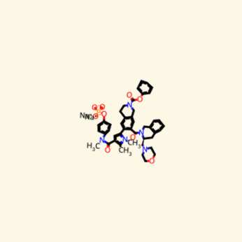 Cc1c(C(=O)N(C)c2ccc(OP(=O)([O-])[O-])cc2)cc(-c2cc3c(cc2C(=O)N2Cc4ccccc4C[C@H]2CN2CCOCC2)CN(C(=O)Oc2ccccc2)CC3)n1C.[Na+].[Na+]